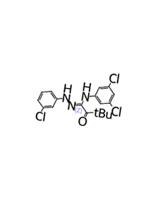 CC(C)(C)C(=O)/C(=N/Nc1cccc(Cl)c1)Nc1cc(Cl)cc(Cl)c1